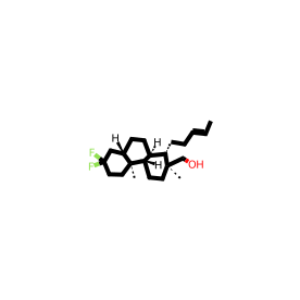 C/C=C/CC[C@H]1[C@@H]2CC[C@H]3CC(F)(F)CC[C@]3(C)[C@H]2CC[C@]1(C)CO